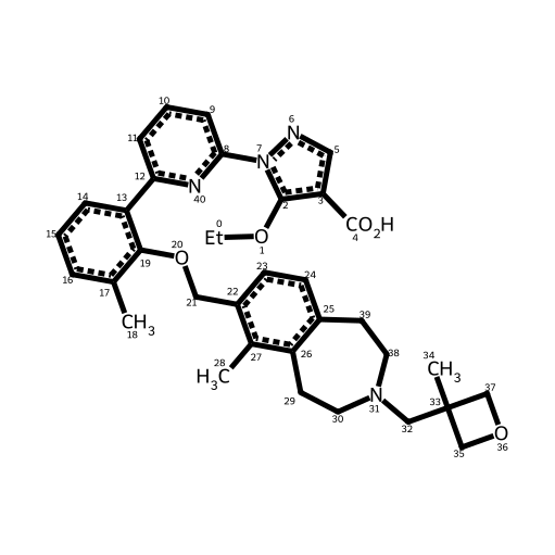 CCOc1c(C(=O)O)cnn1-c1cccc(-c2cccc(C)c2OCc2ccc3c(c2C)CCN(CC2(C)COC2)CC3)n1